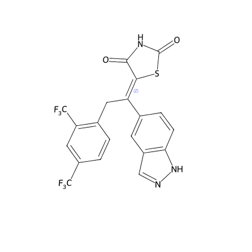 O=C1NC(=O)/C(=C(\Cc2ccc(C(F)(F)F)cc2C(F)(F)F)c2ccc3[nH]ncc3c2)S1